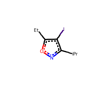 CCc1onc(C(C)C)c1I